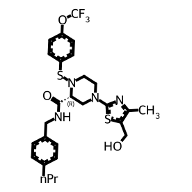 CCCc1ccc(CNC(=O)[C@H]2CN(c3nc(C)c(CO)s3)CCN2Sc2ccc(OC(F)(F)F)cc2)cc1